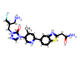 Cc1cc(-c2ccc3sc(CC(N)=O)nc3c2)ncc1-n1cnn(C/C(=C/F)CN)c1=O